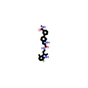 CNC(=O)c1cccc(-c2ccc3cc(C(=O)NCCC4c5c(C)ccc(F)c5NC4C)[nH]c3c2)c1